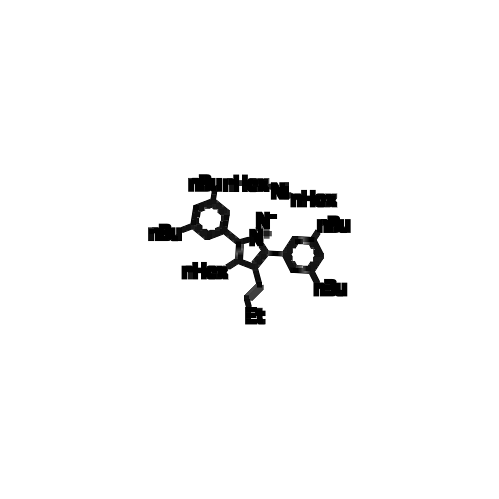 CCC=CC1=C(c2cc(CCCC)cc(CCCC)c2)[N+](=[N-])C(c2cc(CCCC)cc(CCCC)c2)=C1CCCCCC.CCCCC[CH2][Ni][CH2]CCCCC